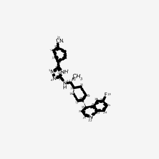 C[C@@H](Nc1nnc(-c2ccc(C#N)cc2)[nH]1)[C@H]1CC[C@@H](c2ccnc3ccc(F)cc32)CC1